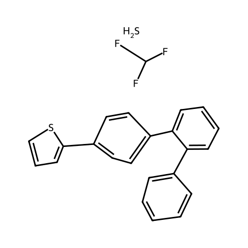 FC(F)F.S.c1ccc(-c2ccccc2-c2ccc(-c3cccs3)cc2)cc1